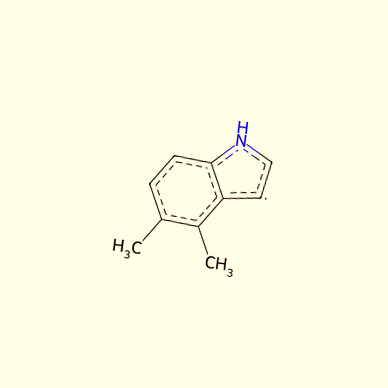 Cc1ccc2[nH]c[c]c2c1C